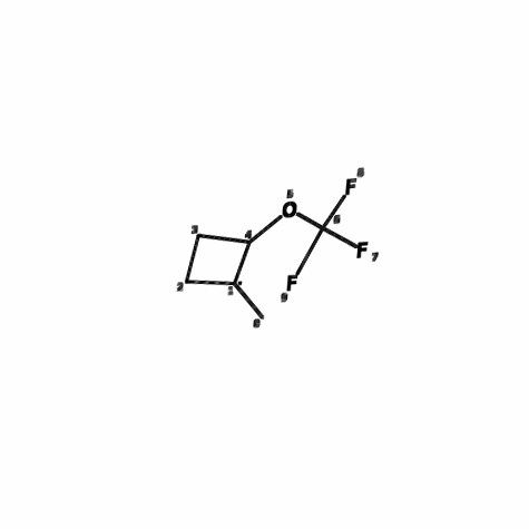 C[C]1CCC1OC(F)(F)F